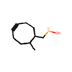 CC1CCC#CCCC1CPO